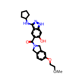 COCCOc1ccc2c(c1)CN(C(=O)c1cc3c(NC4CCCC4)n[nH]c3cc1O)C2